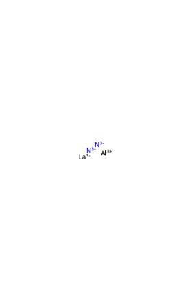 [Al+3].[La+3].[N-3].[N-3]